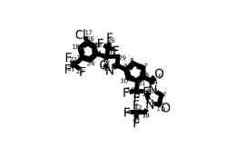 O=C1CN(C(=O)c2ccc(C3=NOC(c4cc(Cl)cc(C(F)(F)F)c4)(C(F)(F)F)C3)cc2C(F)(F)F)CN1CC(F)(F)F